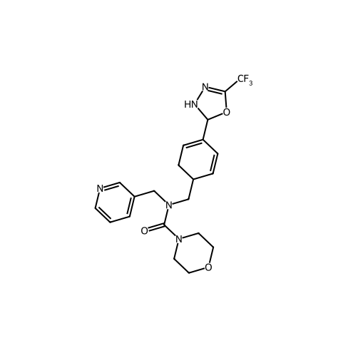 O=C(N1CCOCC1)N(Cc1cccnc1)CC1C=CC(C2NN=C(C(F)(F)F)O2)=CC1